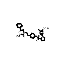 Cc1nc(N2CCC[C@H]2C(=O)Nc2ccc(CCN(CC(O)c3ccccc3)C(=O)OC(C)(C)C)cc2)sc1C(=O)O